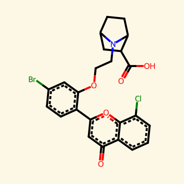 O=C(O)C1CC2CCC1N2CCOc1cc(Br)ccc1-c1cc(=O)c2cccc(Cl)c2o1